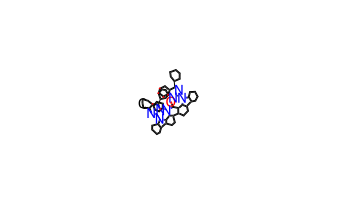 O=c1c2c(ccc3c4ccccc4n(-c4nc(-c5ccccc5)c5ccccc5n4)c32)c2ccc3c4ccccc4n(-c4nc(-c5ccccc5)c5ccccc5n4)c3c2n1-c1ccccc1